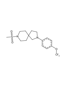 CS(=O)(=O)N1CCC2(CCN(c3ccc(OC(F)(F)F)cc3)C2)CC1